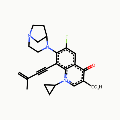 C=C(C)C#Cc1c(N2CCN3CCC2C3)c(F)cc2c(=O)c(C(=O)O)cn(C3CC3)c12